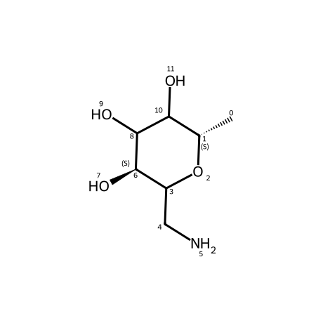 C[C@@H]1OC(CN)[C@@H](O)C(O)C1O